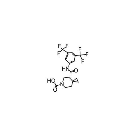 O=C(Nc1cc(C(F)(F)F)cc(C(F)(F)F)c1)[C@H]1CN(C(=O)O)CCC12CC2